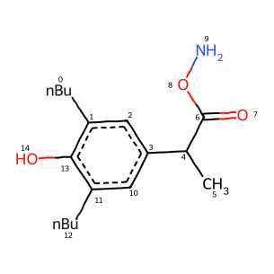 CCCCc1cc(C(C)C(=O)ON)cc(CCCC)c1O